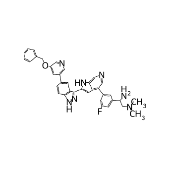 CN(C)CC(N)c1cc(F)cc(-c2cncc3[nH]c(-c4n[nH]c5ccc(-c6cncc(OCc7ccccc7)c6)cc45)cc23)c1